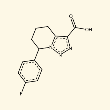 O=C(O)c1nnn2c1CCCC2c1ccc(F)cc1